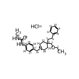 CCOCC1(CCc2ccccc2)CCN(Cc2ccc(NC(=O)NC)cc2)CC1.Cl